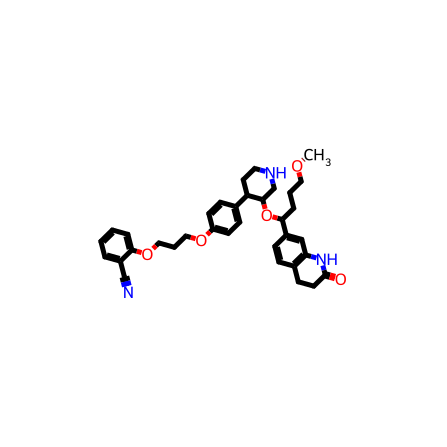 COCCCC(OC1CNCCC1c1ccc(OCCCOc2ccccc2C#N)cc1)c1ccc2c(c1)NC(=O)CC2